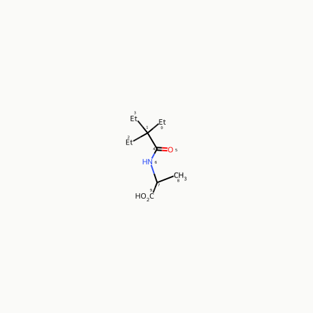 CCC(CC)(CC)C(=O)NC(C)C(=O)O